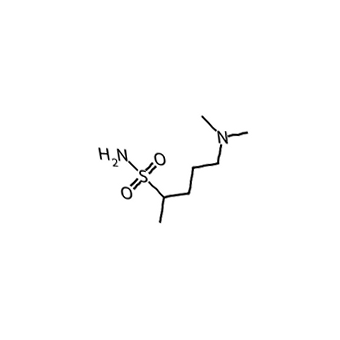 CC(CCCN(C)C)S(N)(=O)=O